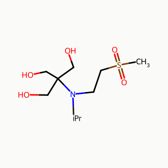 CC(C)N(CCS(C)(=O)=O)C(CO)(CO)CO